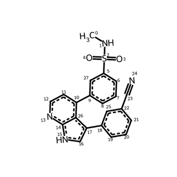 CNS(=O)(=O)c1cccc(-c2ccnc3[nH]cc(-c4cccc(C#N)c4)c23)c1